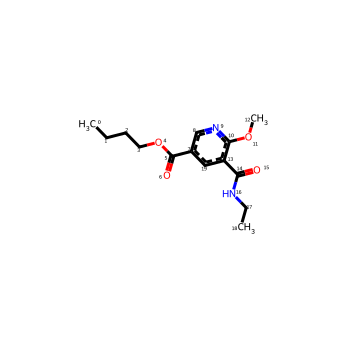 CCCCOC(=O)c1cnc(OC)c(C(=O)NCC)c1